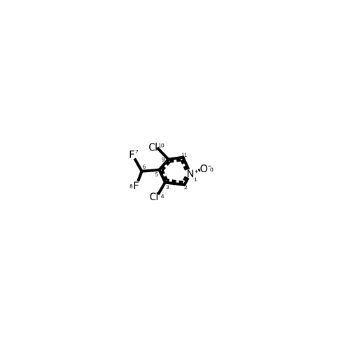 [O-][n+]1cc(Cl)c(C(F)F)c(Cl)c1